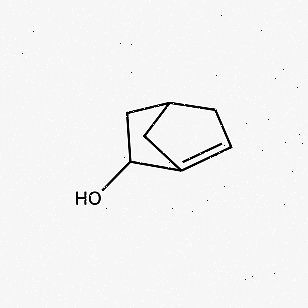 OC1CC2CC=C1C2